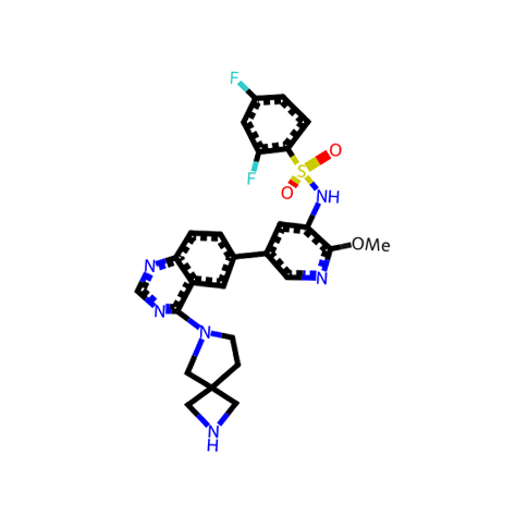 COc1ncc(-c2ccc3ncnc(N4CCC5(CNC5)C4)c3c2)cc1NS(=O)(=O)c1ccc(F)cc1F